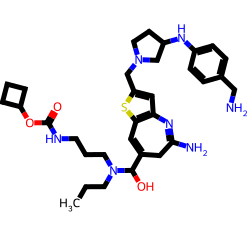 CCCN(CCCNC(=O)OC1CCC1)C(O)C1=Cc2sc(CN3CCC(Nc4ccc(CN)cc4)C3)cc2N=C(N)C1